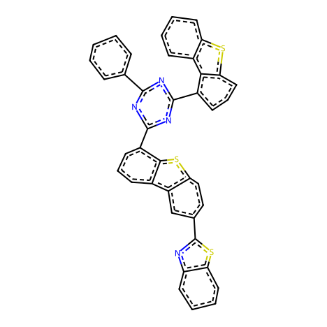 c1ccc(-c2nc(-c3cccc4c3sc3ccc(-c5nc6ccccc6s5)cc34)nc(-c3cccc4sc5ccccc5c34)n2)cc1